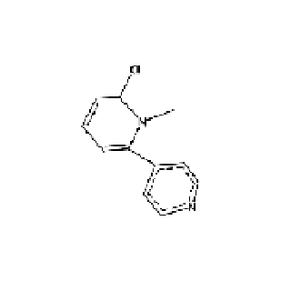 CN1C(c2ccncc2)=CC=CC1Cl